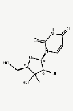 CC1(O)[C@H](O)[C@H](n2ccc(=O)[nH]c2=O)O[C@@H]1CO